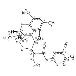 CC(=O)Oc1cc(O)c2c3c1C[C@@H]1[C@@H]4CC[C@H](N(CC(C)C)C(=O)Cc5ccc(Cl)c(Cl)c5)[C@H](O2)[C@]34CCN1C